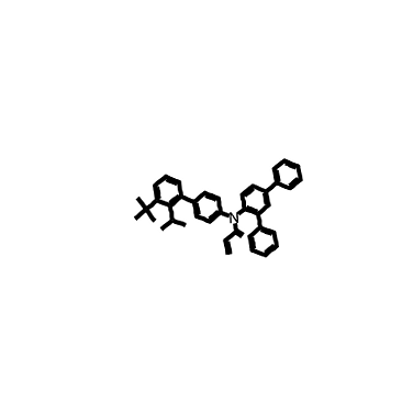 C=CC(=C)N(c1ccc(-c2cccc(C(C)(C)C)c2C(C)C)cc1)c1ccc(-c2ccccc2)cc1-c1ccccc1